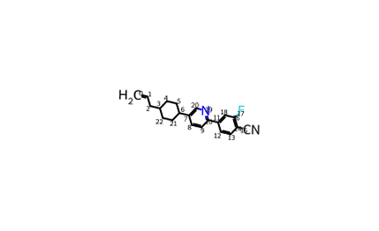 C=CCC1CCC(c2ccc(-c3ccc(C#N)c(F)c3)nc2)CC1